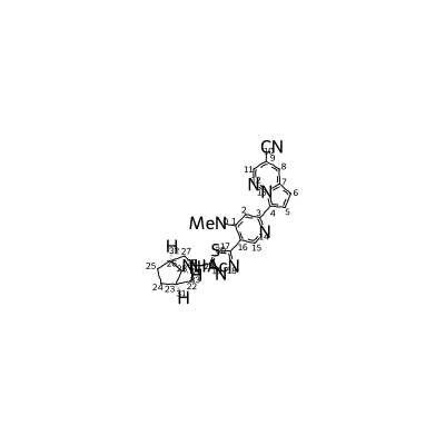 CNc1cc(-c2ccc3cc(C#N)cnn23)ncc1-c1nnc(N2C[C@H]3CC[C@@H](C2)[C@H]3NC(C)=O)s1